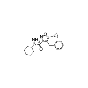 NN(C(=O)c1noc(C2CC2)c1Cc1ccccc1)C1CCCCC1